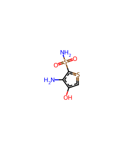 Nc1c(O)csc1S(N)(=O)=O